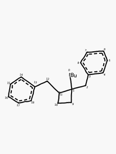 CC(C)(C)C1(Cc2ccccc2)CC[C]1Cc1ccccc1